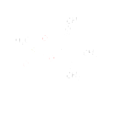 C#CC(OS(C)(=O)=O)C(C)C